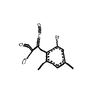 CCc1cc(C)cc(C)c1C(=C=O)C(=O)Cl